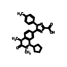 Cc1ccc(-n2nc(C(=O)O)nc2-c2ccc3c(c2)N(C2CCCC2)[C@H](C)C(=O)N3C)cc1